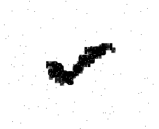 CC(=O)N[C@@H](CC(=O)O)C(=O)NCC(=O)N[C@@H](CCCc1ccc(CNC(=O)CNC(=O)CNC(O)CNC(=O)CN)cc1)C(N)=O